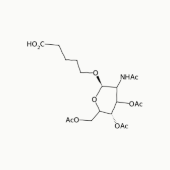 CC(=O)NC1C(OC(C)=O)[C@H](OC(C)=O)C(COC(C)=O)O[C@H]1OCCCCC(=O)O